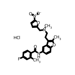 Cc1cc(F)ccc1C(=O)Nc1ccc2oc(C)c(CCN(C)Cc3ccc([N+](=O)[O-])o3)c2c1.Cl